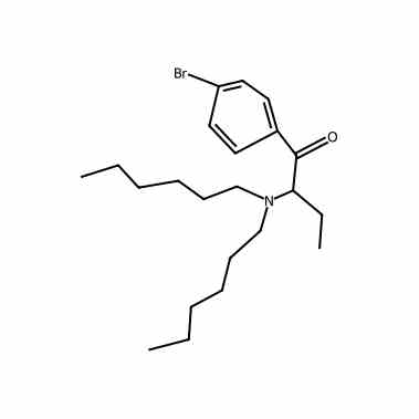 CCCCCCN(CCCCCC)C(CC)C(=O)c1ccc(Br)cc1